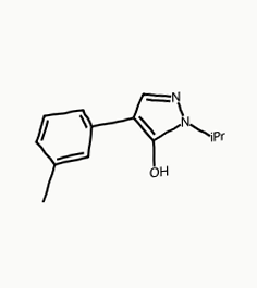 Cc1cccc(-c2cnn(C(C)C)c2O)c1